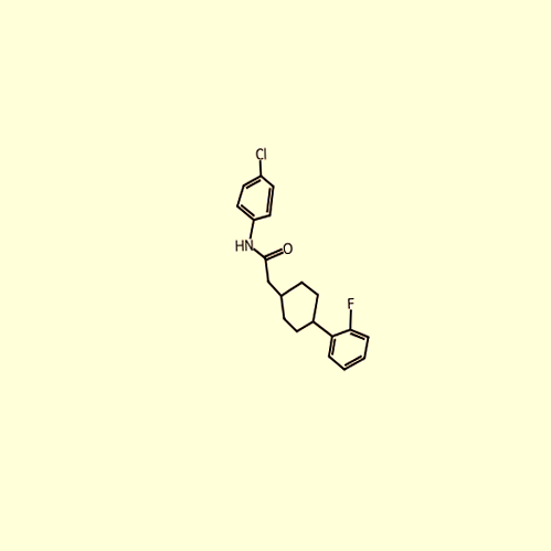 O=C(CC1CCC(c2ccccc2F)CC1)Nc1ccc(Cl)cc1